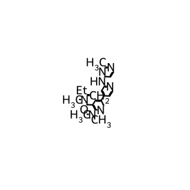 C=C(CC)N(C)C(=O)c1cc(-c2ccnc(Nc3ccnc(C)n3)c2)cnc1N(C)C